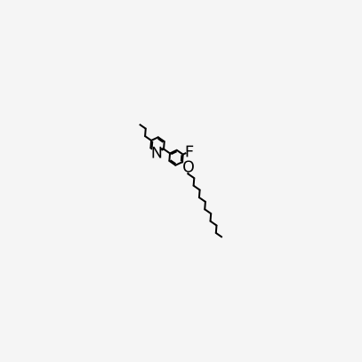 CCCCCCCCCCCCOc1ccc(-c2ccc(CCC)cn2)cc1F